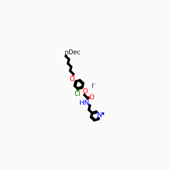 CCCCCCCCCCCCCCCCOc1ccc(OCC(=O)NCCc2ccc[n+](C)c2)c(Cl)c1.[I-]